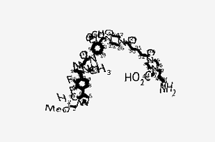 COCCn1ncc(-c2ccc(-c3cnc(C(=O)Nc4ccc(C(=O)N5CCN(C(=O)CCCC(=O)N6CC[N+](CCCN)(CC(=O)O)CC6)CC5)c(Cl)c4)n3C)c(F)c2F)c1C.O=C[O-]